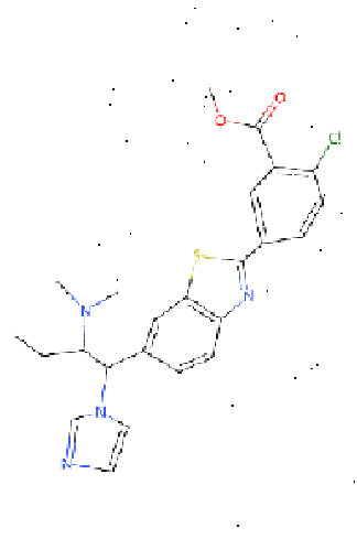 CCC(C(c1ccc2nc(-c3ccc(Cl)c(C(=O)OC)c3)sc2c1)n1ccnc1)N(C)C